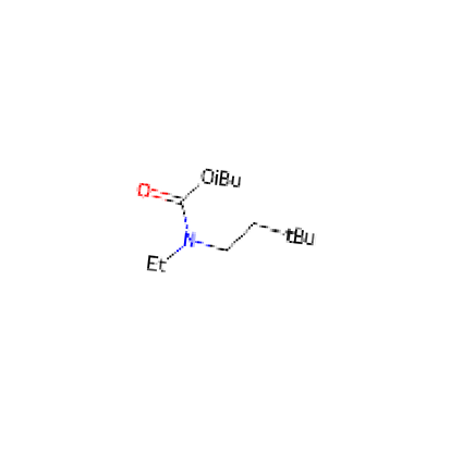 CCN(CCC(C)(C)C)C(=O)OCC(C)C